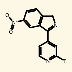 O=[N+]([O-])c1ccc2c(c1)C(c1ccnc(F)c1)=NC2